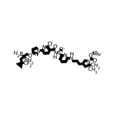 BC(B)(COc1ccn(-c2ccc(C(=O)N[S+]([O-])c3cccc(NCCCC4CN(C(=O)OC(C)(C)C)C(C)(C)C4)n3)c(Cl)n2)n1)CC1(C(F)(F)F)CC1